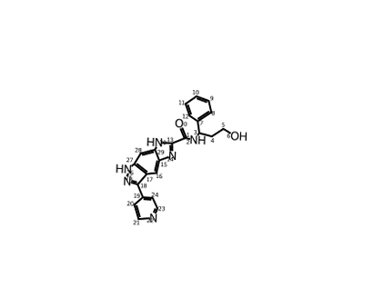 O=C(NC(CCO)c1ccccc1)c1nc2cc3c(-c4ccncc4)n[nH]c3cc2[nH]1